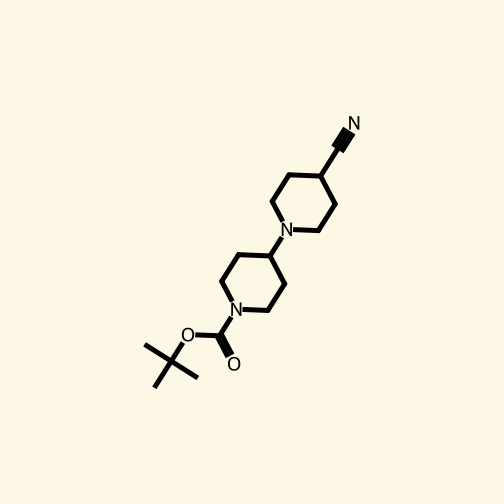 CC(C)(C)OC(=O)N1CCC(N2CCC(C#N)CC2)CC1